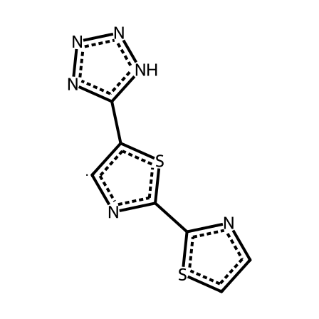 [c]1nc(-c2nccs2)sc1-c1nnn[nH]1